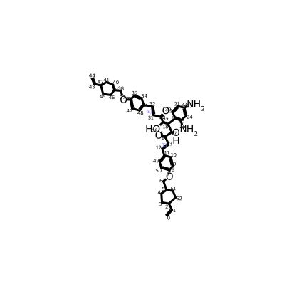 C=CC1CCC(COc2ccc(/C=C/C(=O)C(O)C(c3ccc(N)cc3N)C(O)C(=O)/C=C/c3ccc(OCC4CCC(C=C)CC4)cc3)cc2)CC1